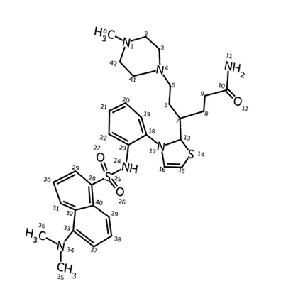 CN1CCN(CCC(CCC(N)=O)C2SC=CN2c2ccccc2NS(=O)(=O)c2cccc3c(N(C)C)cccc23)CC1